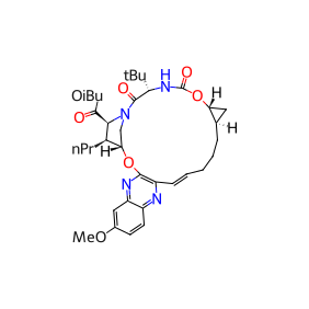 CCC[C@@H]1[C@@H]2CN(C(=O)[C@H](C(C)(C)C)NC(=O)O[C@@H]3C[C@H]3CCC/C=C/c3nc4ccc(OC)cc4nc3O2)[C@@H]1C(=O)OCC(C)C